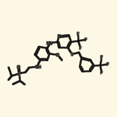 COc1cc(NCCP(=O)(C(C)C)C(C)C)ccc1Nc1cc(SCc2cccc(C(F)(F)F)c2)c(C(F)(F)F)cn1